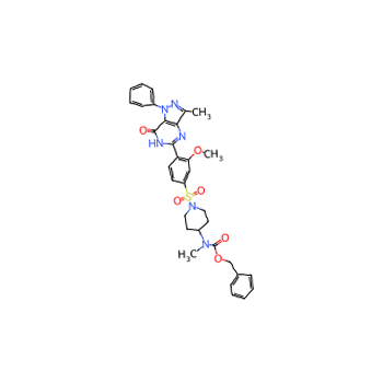 COc1cc(S(=O)(=O)N2CCC(N(C)C(=O)OCc3ccccc3)CC2)ccc1-c1nc2c(C)nn(-c3ccccc3)c2c(=O)[nH]1